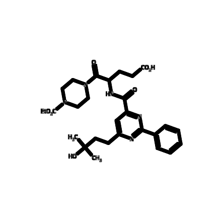 CCOC(=O)N1CCN(C(=O)C(CCC(=O)O)NC(=O)c2cc(CCC(C)(C)O)nc(-c3ccccc3)n2)CC1